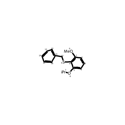 COc1cccc(OC(C)C)c1SCc1ccccc1